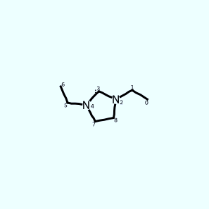 CCN1[C]N(CC)CC1